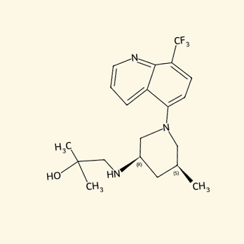 C[C@H]1C[C@@H](NCC(C)(C)O)CN(c2ccc(C(F)(F)F)c3ncccc23)C1